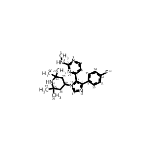 CNc1nccc(-c2c(-c3ccc(F)cc3)ncn2C2CC(C)(C)NC(C)(C)C2)n1